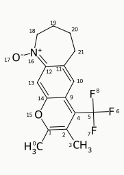 CC1=C(C)C(C(F)(F)F)=c2cc3c(cc2O1)=[N+]([O-])CCCC3